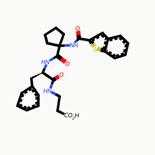 O=C(O)CCNC(=O)[C@@H](Cc1ccccc1)NC(=O)C1(NC(=O)c2cc3ccccc3s2)CCCC1